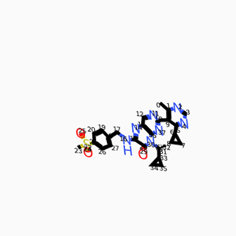 Cc1ncnc(C2CC2)c1-c1ncc2nc(NCc3ccc(S(C)(=O)=O)cc3)c(=O)n([C@@H](C)C3CC3)c2n1